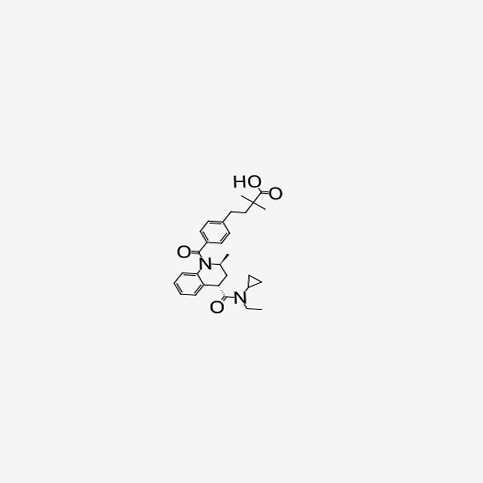 CCN(C(=O)[C@H]1C[C@H](C)N(C(=O)c2ccc(CCC(C)(C)C(=O)O)cc2)c2ccccc21)C1CC1